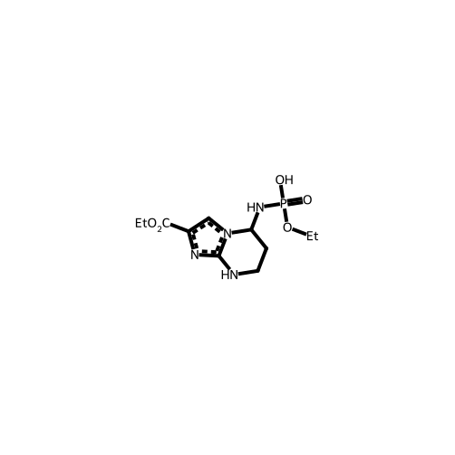 CCOC(=O)c1cn2c(n1)NCCC2NP(=O)(O)OCC